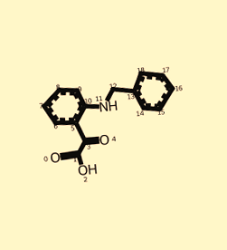 O=C(O)C(=O)c1ccccc1NCc1ccccc1